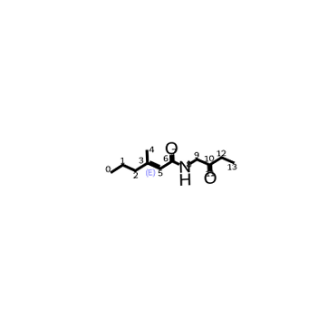 CCC/C(C)=C/C(=O)NCC(=O)CC